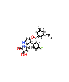 C[C@@]1([C@@H]2CC[C@H](OCc3cc(C(F)(F)F)cc(C(F)(F)F)c3)[C@H]2c2ccc(F)cc2)C[C@H](O)C(=O)N1